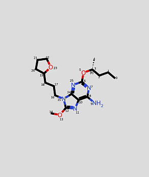 CCC[C@@H](C)Oc1nc(N)c2nc(OC)n(CCCC3CCCO3)c2n1